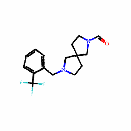 O=CN1CCC2(CCN(Cc3ccccc3C(F)(F)F)C2)C1